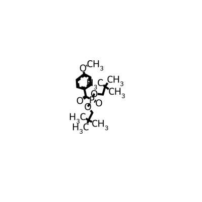 COc1ccc(C(=O)P(=O)(OCC(C)(C)C)OCC(C)(C)C)cc1